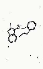 CC1=Cc2ccccc2[CH]1[Zr][CH]1C(C)=Cc2ccccc21